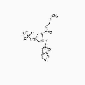 C=CCOC(=O)N1C[C@H](OS(C)(=O)=O)C[C@H]1Cc1cn2cncc2s1